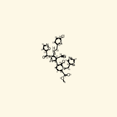 COC(=O)c1ccc(-c2nn(C(=O)c3ccno3)c(NCc3ccc(Cl)s3)c2C#N)c(=O)n1Cc1cncs1